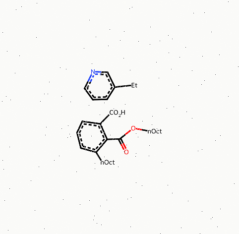 CCCCCCCCOC(=O)c1c(CCCCCCCC)cccc1C(=O)O.CCc1cccnc1